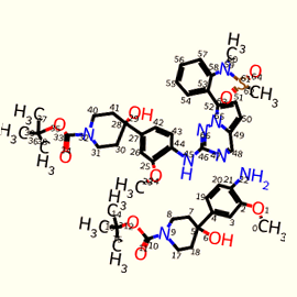 COc1cc(C2(O)CCN(C(=O)OC(C)(C)C)CC2)ccc1N.COc1cc(C2(O)CCN(C(=O)OC(C)(C)C)CC2)ccc1Nc1ncc2ccc(-c3ccccc3N(C)S(C)(=O)=O)n2n1